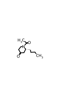 CCCC[C@@H]1CC(=O)CCN1C(C)=O